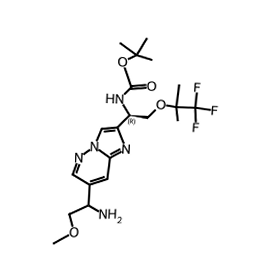 COCC(N)c1cnn2cc([C@H](COC(C)(C)C(F)(F)F)NC(=O)OC(C)(C)C)nc2c1